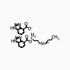 CCC[CH2][Sn+2][CH2]CCC.O=C([O-])c1cccc2[nH]nnc12.O=C([O-])c1cccc2[nH]nnc12